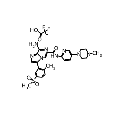 Cc1ccc(S(C)(=O)=O)cc1-c1cnc2c(N)nc(C(=O)Nc3ccc(N4CCN(C)CC4)cn3)cn12.O=C(O)C(F)(F)F